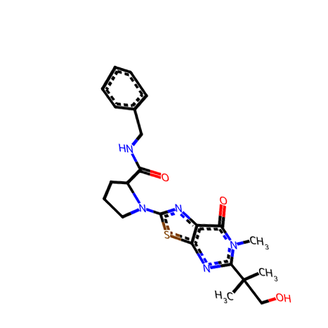 Cn1c(C(C)(C)CO)nc2sc(N3CCCC3C(=O)NCc3ccccc3)nc2c1=O